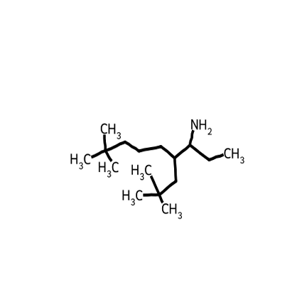 CCC(N)C(CCCC(C)(C)C)CC(C)(C)C